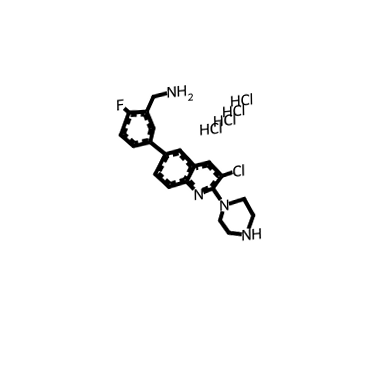 Cl.Cl.Cl.Cl.NCc1cc(-c2ccc3nc(N4CCNCC4)c(Cl)cc3c2)ccc1F